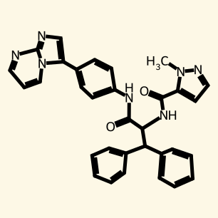 Cn1nccc1C(=O)NC(C(=O)Nc1ccc(-c2cnc3ncccn23)cc1)C(c1ccccc1)c1ccccc1